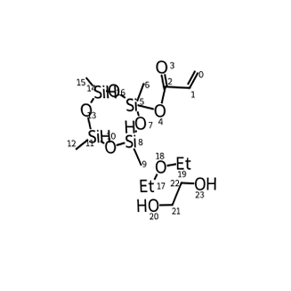 C=CC(=O)O[Si]1(C)O[SiH](C)O[SiH](C)O[SiH](C)O1.CCOCC.OCCO